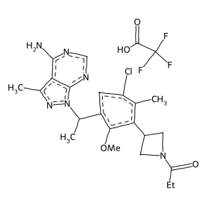 CCC(=O)N1CC(c2c(C)c(Cl)cc(C(C)n3nc(C)c4c(N)ncnc43)c2OC)C1.O=C(O)C(F)(F)F